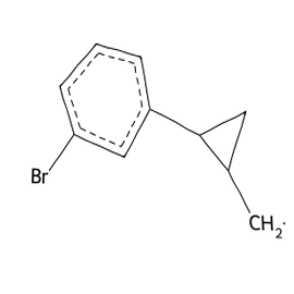 [CH2]C1CC1c1cccc(Br)c1